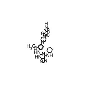 COc1cc(N2CCN(S(=O)(=O)c3c[nH]cn3)CC2)ccc1Nc1nc(NC2CCCCC2)c2ncnc-2[nH]1